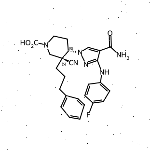 N#C[C@@]1(CCCc2ccccc2)CN(C(=O)O)CC[C@@H]1n1cc(C(N)=O)c(Nc2ccc(F)cc2)n1